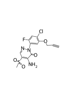 C#CCOc1cc(-n2ncc(S(C)(=O)=O)c(N)c2=O)c(F)cc1Cl